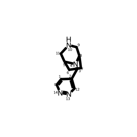 c1cc(CN2C3CCC2CNC3)cnn1